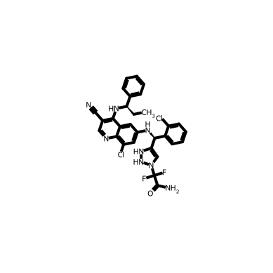 CC[C@@H](Nc1c(C#N)cnc2c(Cl)cc(N[C@H](C3=CN(C(F)(F)C(N)=O)NN3)c3ccccc3Cl)cc12)c1ccccc1